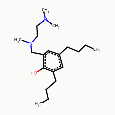 CCCCc1cc(CCCC)c(O)c(CN(C)CCN(C)C)c1